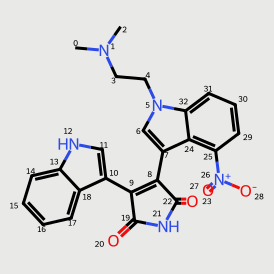 CN(C)CCn1cc(C2=C(c3c[nH]c4ccccc34)C(=O)NC2=O)c2c([N+](=O)[O-])cccc21